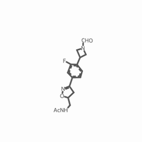 CC(=O)NCC1CC(c2ccc(C3CN(C=O)C3)c(F)c2)=NO1